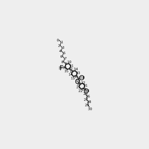 CCCCCCCCCc1ccc(-c2ccc(C(=O)Oc3ccc(OCCCCCC)cc3)cc2)cc1F